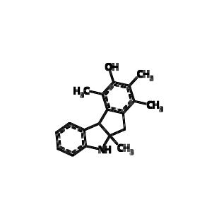 Cc1c(C)c2c(c(C)c1O)C1c3ccccc3NC1(C)C2